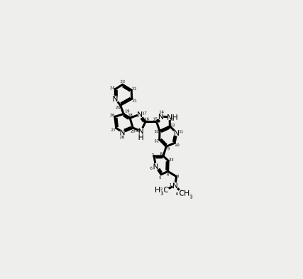 CN(C)Cc1cncc(-c2cnc3[nH]nc(-c4nc5c(-c6ccccn6)ccnc5[nH]4)c3c2)c1